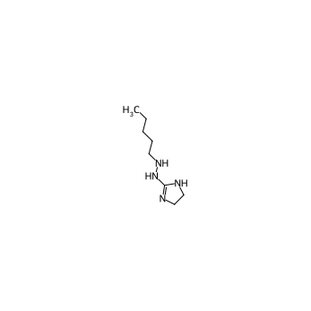 CCCCCNNC1=NCCN1